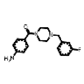 Nc1ccc(C(=O)N2CCN(Cc3cccc(F)c3)CC2)cc1